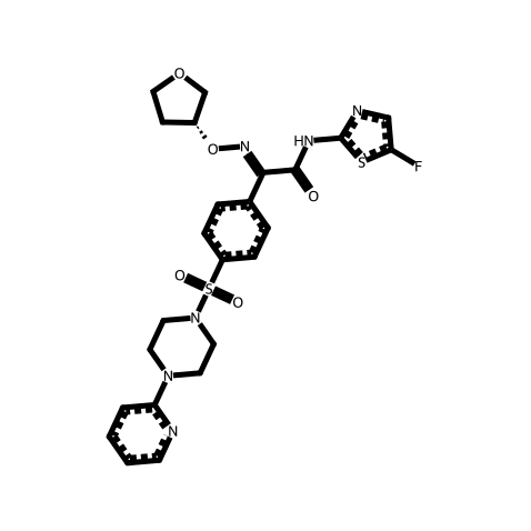 O=C(Nc1ncc(F)s1)/C(=N/O[C@@H]1CCOC1)c1ccc(S(=O)(=O)N2CCN(c3ccccn3)CC2)cc1